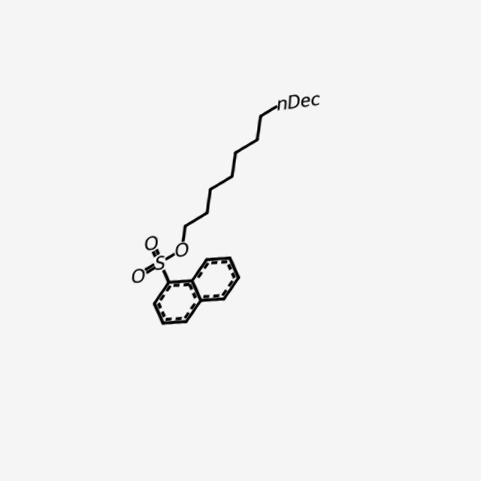 CCCCCCCCCCCCCCCCCOS(=O)(=O)c1cccc2ccccc12